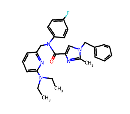 CCN(CC)c1cccc(CN(C(=O)c2cn(Cc3ccccc3)c(C)n2)c2ccc(F)cc2)n1